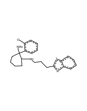 CNC1(c2ccccc2Cl)CCCCC1NCCCc1nc2ccccc2s1